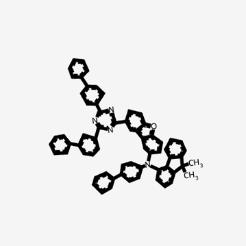 CC1(C)c2ccccc2-c2c(N(c3ccc(-c4ccccc4)cc3)c3ccc4oc5ccc(-c6nc(-c7ccc(-c8ccccc8)cc7)nc(-c7cccc(-c8ccccc8)c7)n6)cc5c4c3)cccc21